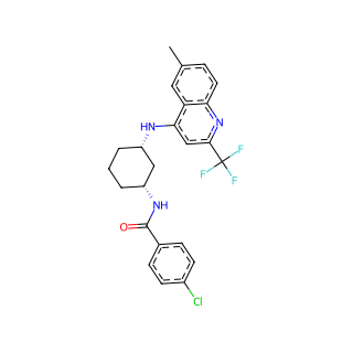 Cc1ccc2nc(C(F)(F)F)cc(N[C@H]3CCC[C@@H](NC(=O)c4ccc(Cl)cc4)C3)c2c1